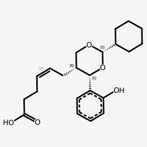 O=C(O)CC/C=C\C[C@@H]1CO[C@H](C2CCCCC2)O[C@@H]1c1ccccc1O